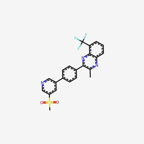 Cc1nc2cccc(C(F)(F)F)c2nc1-c1ccc(-c2cncc(S(C)(=O)=O)c2)cc1